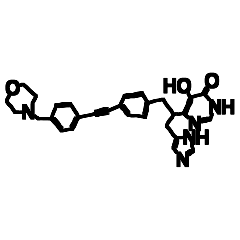 O=c1[nH]cnc(C(Cc2ccc(C#Cc3ccc(CN4CCOCC4)cc3)cc2)Cc2cnc[nH]2)c1O